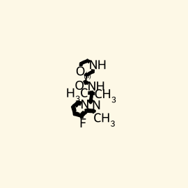 Cc1nc(C(C)(C)NC(=O)[C@@H]2CNCCO2)n2cccc(F)c12